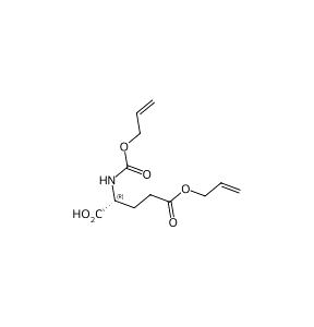 C=CCOC(=O)CC[C@@H](NC(=O)OCC=C)C(=O)O